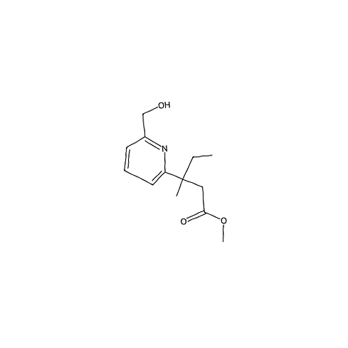 CCC(C)(CC(=O)OC)c1cccc(CO)n1